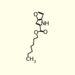 CCCCCCCOC(=O)c1cc2occc2[nH]1